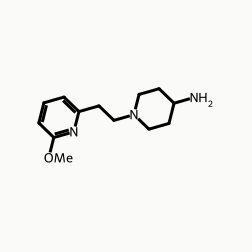 COc1cccc(CCN2CCC(N)CC2)n1